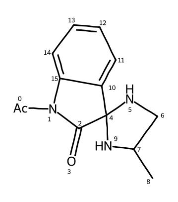 CC(=O)N1C(=O)C2(NCC(C)N2)c2ccccc21